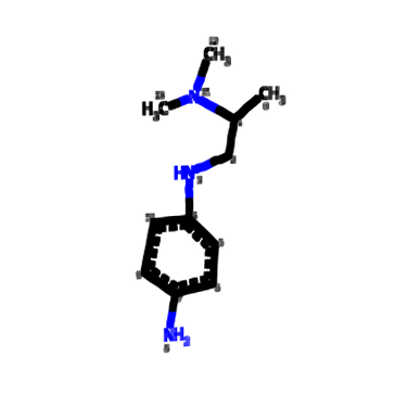 CC(CNc1ccc(N)cc1)N(C)C